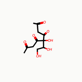 CC(=O)CC(=O)C(O)(C(=O)CC(C)=O)C(O)CO